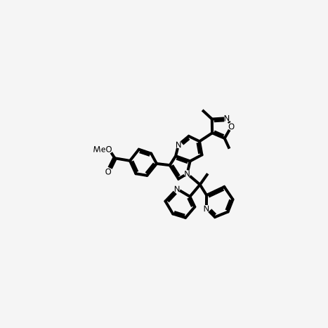 COC(=O)c1ccc(-c2cn(C(C)(c3ccccn3)c3ccccn3)c3cc(-c4c(C)noc4C)cnc23)cc1